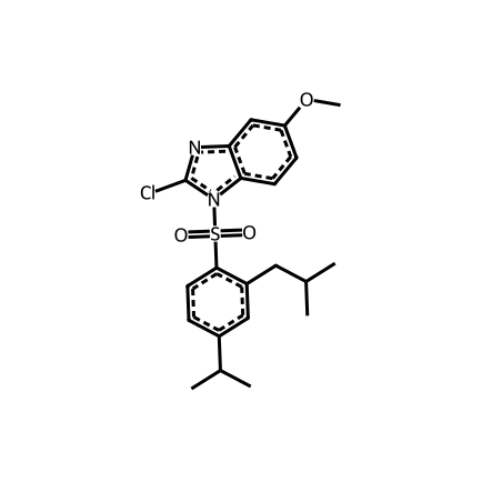 COc1ccc2c(c1)nc(Cl)n2S(=O)(=O)c1ccc(C(C)C)cc1CC(C)C